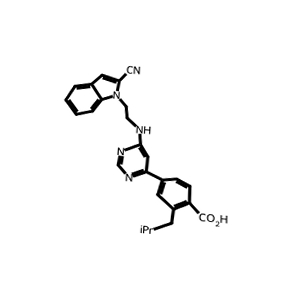 CC(C)Cc1cc(-c2cc(NCCn3c(C#N)cc4ccccc43)ncn2)ccc1C(=O)O